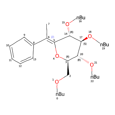 CCCCOC[C@H]1O/C(=C(/C)c2ccccc2)[C@H](OCCCC)[C@@H](OCCCC)[C@@H]1OCCCC